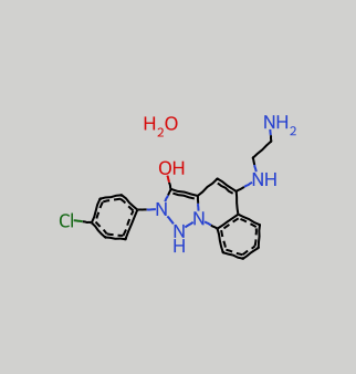 NCCNC1=CC2=C(O)N(c3ccc(Cl)cc3)NN2c2ccccc21.O